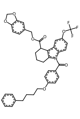 O=C(OCc1ccc2c(c1)OCO2)C1CCCc2c1c1cc(OC(F)(F)F)ccc1n2C(=O)c1ccc(OCCCCc2ccccc2)cc1